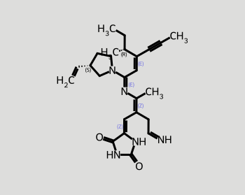 C=C[C@@H]1CCN(C(/C=C(/C#CC)[C@H](C)CC)=N/C(C)=C(\C=C2/NC(=O)NC2=O)CC=N)C1